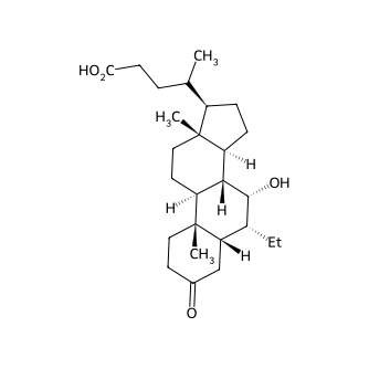 CC[C@H]1[C@@H](O)[C@@H]2[C@H](CC[C@]3(C)[C@@H](C(C)CCC(=O)O)CC[C@@H]23)[C@@]2(C)CCC(=O)C[C@@H]12